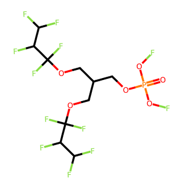 O=P(OF)(OF)OCC(COC(F)(F)C(F)C(F)F)COC(F)(F)C(F)C(F)F